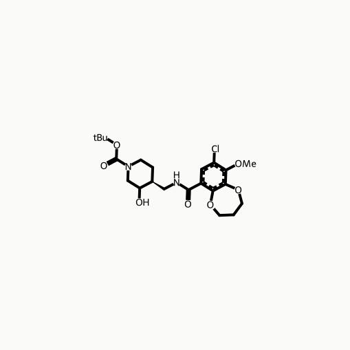 COc1c(Cl)cc(C(=O)NC[C@@H]2CCN(C(=O)OC(C)(C)C)CC2O)c2c1OCCCO2